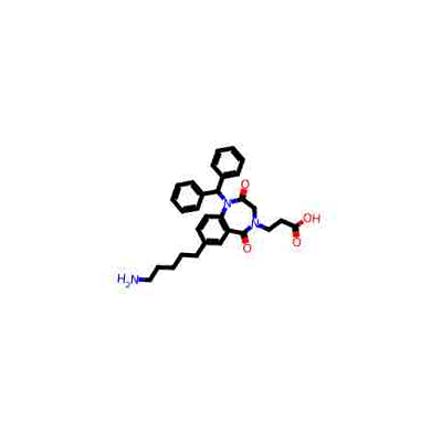 NCCCCCc1ccc2c(c1)C(=O)N(CCC(=O)O)CC(=O)N2C(c1ccccc1)c1ccccc1